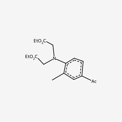 CCOC(=O)CN(CC(=O)OCC)c1ccc(C(C)=O)cc1C